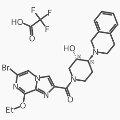 CCOc1nc(Br)cn2cc(C(=O)N3CC[C@H](N4CCc5ccccc5C4)[C@@H](O)C3)nc12.O=C(O)C(F)(F)F